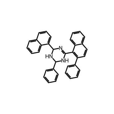 c1ccc(-c2ccc3ccccc3c2C2=NC(c3cccc4ccccc34)NC(c3ccccc3)N2)cc1